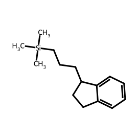 C[Si](C)(C)CCCC1CCc2ccccc21